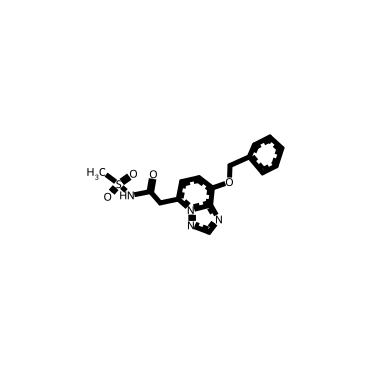 CS(=O)(=O)NC(=O)Cc1ccc(OCc2ccccc2)c2ncnn12